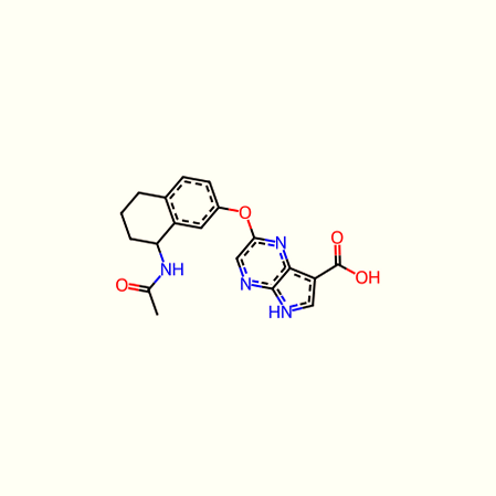 CC(=O)NC1CCCc2ccc(Oc3cnc4[nH]cc(C(=O)O)c4n3)cc21